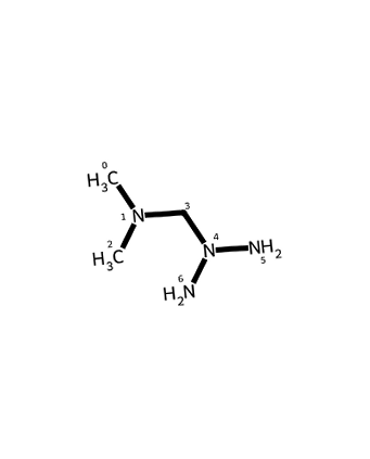 CN(C)CN(N)N